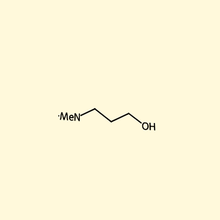 C[N]CCCO